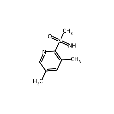 Cc1cnc(S(C)(=N)=O)c(C)c1